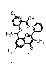 Cc1cc([C@@H](C)Oc2ccc(Cl)nc2C(=O)O)c2oc(-c3ccccn3)c(C)c(=O)c2c1